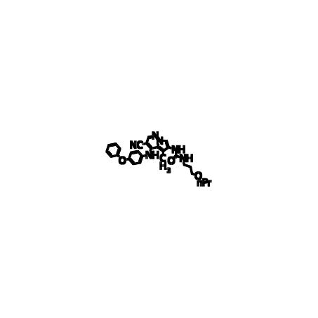 CCCOCCCNC(=O)Nc1cn2ncc(C#N)c(Nc3ccc(Oc4ccccc4)cc3)c2c1C